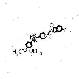 CCOc1ccc(-c2noc(C3CCN(C(=O)CN4Cc5cc(F)ccc5C4=O)CC3)n2)cc1OC